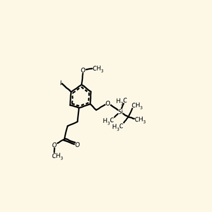 COC(=O)CCc1cc(I)c(OC)cc1CO[Si](C)(C)C(C)(C)C